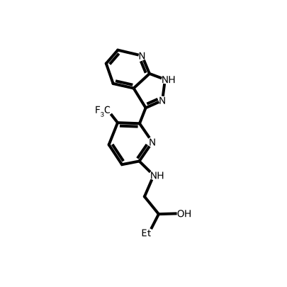 CCC(O)CNc1ccc(C(F)(F)F)c(-c2n[nH]c3ncccc23)n1